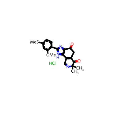 COc1cc(SC)ccc1-c1nc2c([nH]1)C1=C(CC2=O)C(=O)C(C)(C)N=C1.Cl